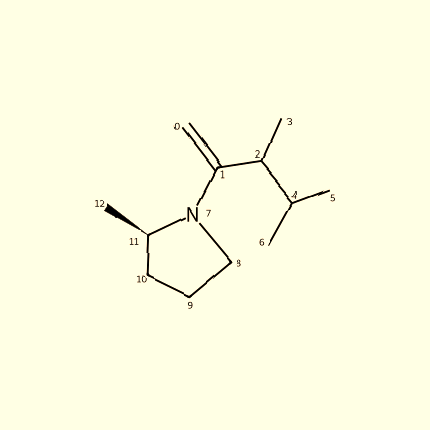 C=C(C(C)C(C)C)N1CCC[C@H]1C